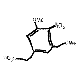 COc1cc(CC(=O)O)cc(OC)c1[N+](=O)[O-]